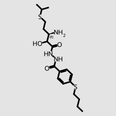 CCCCSc1ccc(C(=O)NNC(=O)C(O)[C@H](N)CCSC(C)C)cc1